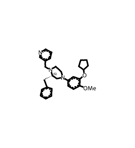 COc1ccc(N2CCN(Cc3cccnc3)[C@@H](Cc3ccccc3)C2)cc1OC1CCCC1